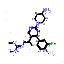 C=N/C(=N\C=C(/C)c1cnc(N2CCC(N)CC2)nc1-c1ccc(N)c(F)c1)NC